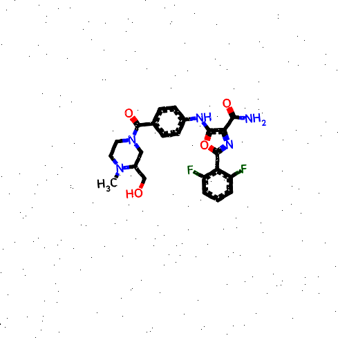 CN1CCN(C(=O)c2ccc(Nc3oc(-c4c(F)cccc4F)nc3C(N)=O)cc2)CC1CO